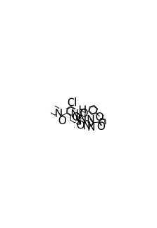 CCN(CC)C(=O)c1cc(Cl)cnc1C[C@@H](C)S(=O)(=O)Nc1nnc(-c2ccco2)n1-c1c(OC)cccc1OC